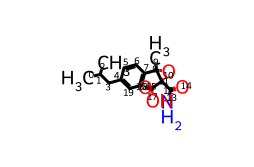 CC(C)Cc1ccc(C2(C)OC2(C(N)=O)C(=O)O)cc1